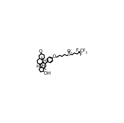 C[C@]12CCC(=O)CC1CC[C@@H]1[C@H]2C(c2ccc(OCCCCC[S+]([O-])CCCC(F)(F)C(F)(F)F)cc2)C[C@]2(C)C(O)CC[C@@H]12